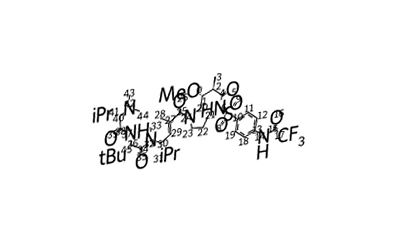 CO[C@H]([C@@H](C)C(=O)NS(=O)(=O)c1ccc(NC(=O)C(F)(F)F)cc1)[C@@H]1CCCN1C(=O)/C(C)=C/[C@H](C(C)C)N(C)C(=O)[C@@H](NC(=O)[C@H](C(C)C)N(C)C)C(C)(C)C